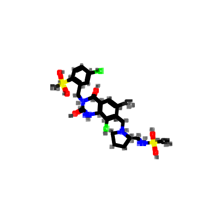 CCS(=O)(=O)c1ccc(Cl)cc1Cn1c(=O)[nH]c2c(Cl)c(CN3CCC[C@H]3CNS(C)(=O)=O)c(C(F)(F)F)cc2c1=O